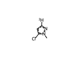 [2H]c1cc(Cl)n(C)n1